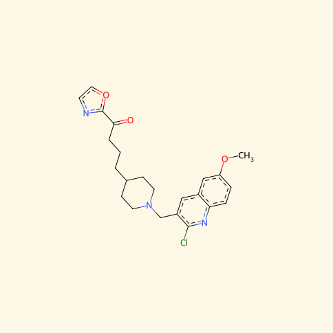 COc1ccc2nc(Cl)c(CN3CCC(CCCC(=O)c4ncco4)CC3)cc2c1